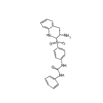 NC1Cc2ccccc2NC1S(=O)(=O)c1ccc(NC(=O)Nc2ccccc2)cc1